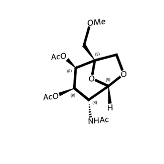 COC[C@@]12CO[C@@H](O1)[C@H](NC(C)=O)[C@@H](OC(C)=O)[C@H]2OC(C)=O